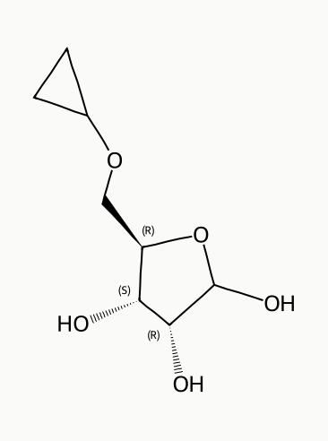 OC1O[C@H](COC2CC2)[C@@H](O)[C@H]1O